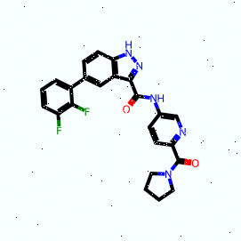 O=C(Nc1ccc(C(=O)N2CCCC2)nc1)c1n[nH]c2ccc(-c3cccc(F)c3F)cc12